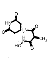 C=C(C(N)=O)C(=O)NO.O=C1CCCC(=O)N1